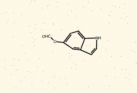 O=COc1ccc2[nH]ccc2c1